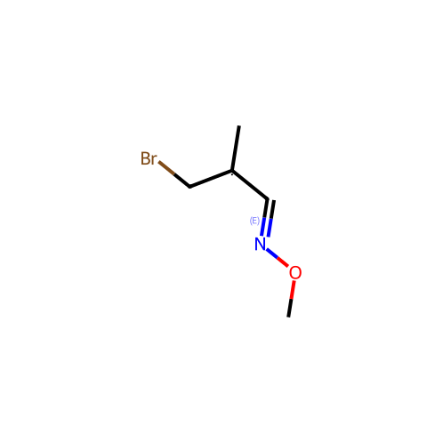 CO/N=C/[C](C)CBr